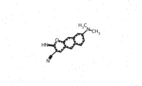 CN(C)c1ccc2cc3cc(C#N)c(=N)oc3cc2c1